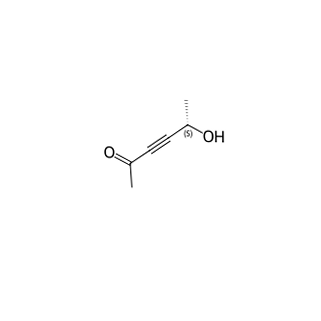 CC(=O)C#C[C@H](C)O